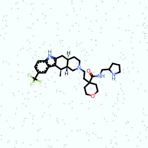 C[C@H]1c2c([nH]c3ccc(C(F)(F)F)cc23)C[C@H]2CCN(CCC3(C(=O)NCC4CCCN4)CCOCC3)C[C@@H]21